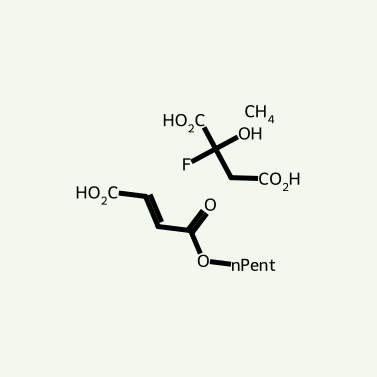 C.CCCCCOC(=O)C=CC(=O)O.O=C(O)CC(O)(F)C(=O)O